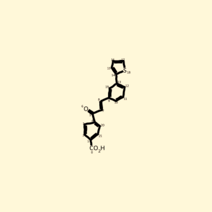 O=C(O)c1ccc(C(=O)/C=C/c2cccc(-c3cccs3)c2)cc1